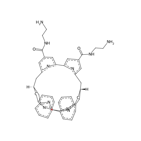 NCCNC(=O)c1cc2nc(c1)-c1cc(C(=O)NCCN)cc(n1)C[C@H]1Cc3cccc(n3)-c3cccc(n3)C[C@H](Cc3cccc(n3)-c3cccc(n3)C1)C2